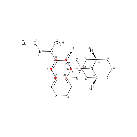 CCON=C(C(=O)O)c1nc2ccccc2n([C@H]2C[C@H]3CCC[C@@H](C2)N3C2CC3CCCC(C3)C2)c1=O